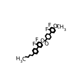 CCCCCc1ccc(-c2ccc(OC(=O)C3CCC(c4ccc(OC)c(F)c4F)CC3)c(F)c2F)cc1